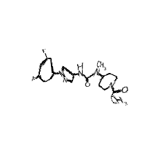 CC(=O)N1CCC(N(C)C(=O)Nc2cnn(-c3cc(F)cc(F)c3)c2)CC1